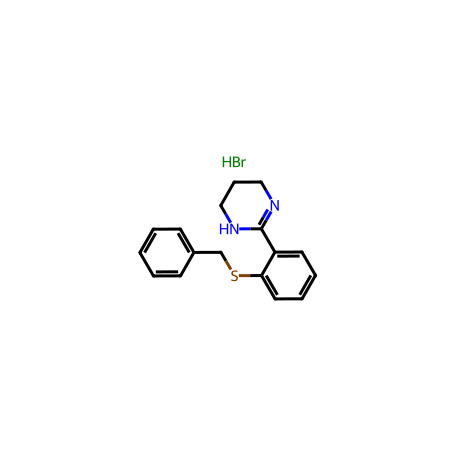 Br.c1ccc(CSc2ccccc2C2=NCCCN2)cc1